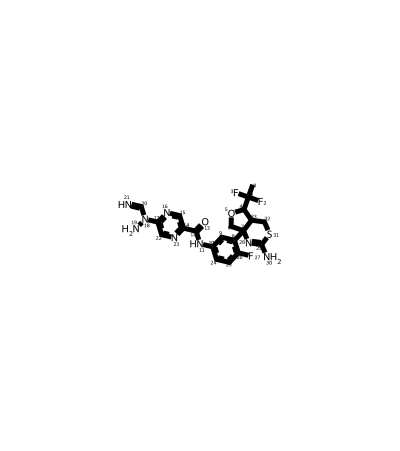 CC(F)(F)C1OCC2(c3cc(NC(=O)c4cnc(N(N)C=N)cn4)ccc3F)N=C(N)SCC12